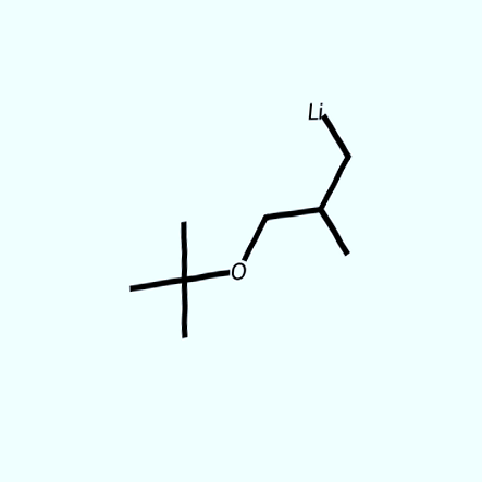 [Li][CH2]C(C)COC(C)(C)C